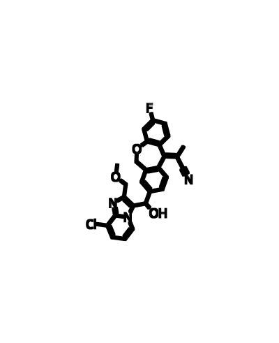 COCc1nc2c(Cl)cccn2c1C(O)c1ccc2c(c1)COc1cc(F)ccc1/C2=C(\C)C#N